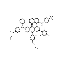 CCC[C@H](C)c1ccc(N(c2ccc(C)cc2)c2ccc3c(c2)Bc2c(-c4c(Nc5ccc(C(C)(C)C)cc5)ccc5ccccc45)cc(-c4c(C)cc(C)cc4C)cc2N3c2ccc([C@@H](C)CCC)cc2C)cc1